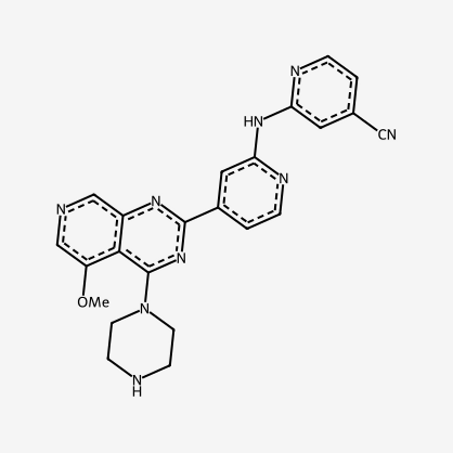 COc1cncc2nc(-c3ccnc(Nc4cc(C#N)ccn4)c3)nc(N3CCNCC3)c12